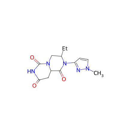 CCC1CN2C(=O)NC(=O)CC2C(=O)N1c1ccn(C)n1